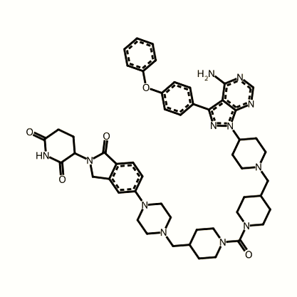 Nc1ncnc2c1c(-c1ccc(Oc3ccccc3)cc1)nn2C1CCN(CC2CCN(C(=O)N3CCC(CN4CCN(c5ccc6c(c5)CN(C5CCC(=O)NC5=O)C6=O)CC4)CC3)CC2)CC1